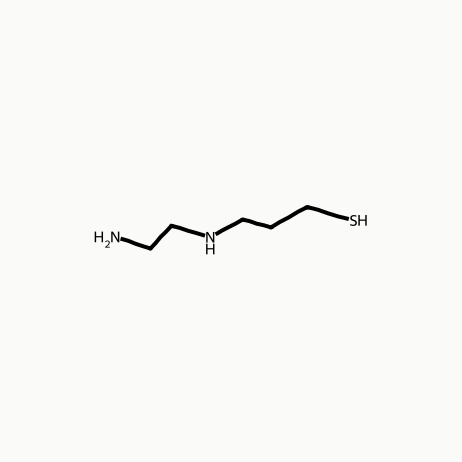 NCCNCCCS